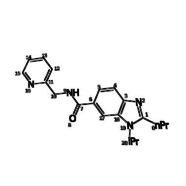 CCCc1nc2ccc(C(=O)NCc3ccccn3)cc2n1C(C)C